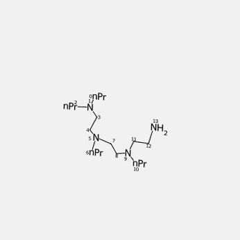 CCCN(CCC)CCN(CCC)CCN(CCC)CCN